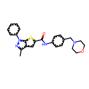 Cc1nn(-c2ccccc2)c2sc(C(=O)Nc3ccc(CN4CCOCC4)cc3)cc12